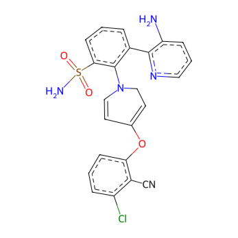 N#Cc1c(Cl)cccc1OC1=CCN(c2c(-c3ncccc3N)cccc2S(N)(=O)=O)C=C1